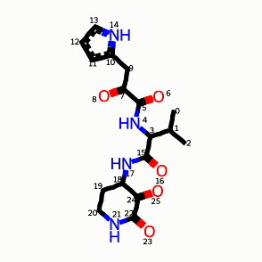 CC(C)C(NC(=O)C(=O)Cc1ccc[nH]1)C(=O)NC1CCNC(=O)C1=O